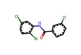 O=C(Nc1cc(Cl)ccc1Br)c1cccc(Cl)c1